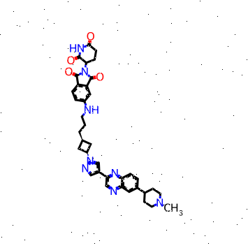 CN1CCC(c2ccc3nc(-c4cnn([C@H]5C[C@H](CCCNc6ccc7c(c6)C(=O)N(C6CCC(=O)NC6=O)C7=O)C5)c4)cnc3c2)CC1